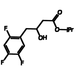 CC(C)OC(=O)CC(O)Cc1cc(F)c(F)cc1F